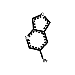 CC(C)c1cnc2cocc2c1